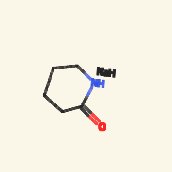 O=C1CCCCN1.[NaH]